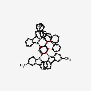 Cc1ccc2c(c1)c1ccccc1n2-c1nc(-n2c3ccccc3c3cc(C)ccc32)c(-n2c3ccccc3c3cc(C)ccc32)c(-c2ccccc2-c2ccc(-c3ccccc3)nc2-c2ccccc2)c1-n1c2ccccc2c2cc(C)ccc21